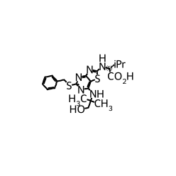 CC(C)[C@H](Nc1nc2nc(SCc3ccccc3)nc(NC(C)(C)CO)c2s1)C(=O)O